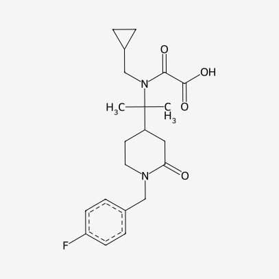 CC(C)(C1CCN(Cc2ccc(F)cc2)C(=O)C1)N(CC1CC1)C(=O)C(=O)O